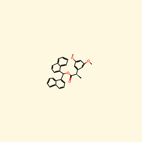 COc1cc(OC)cc([C@@H](C)C(=O)OC(c2cccc3ccccc23)c2cccc3ccccc23)c1